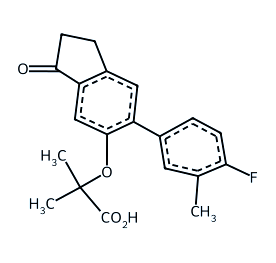 Cc1cc(-c2cc3c(cc2OC(C)(C)C(=O)O)C(=O)CC3)ccc1F